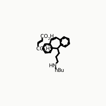 CCCCNCCCC1c2ccccc2C=Cc2ccccc21.O=C(O)C=CC(=O)O